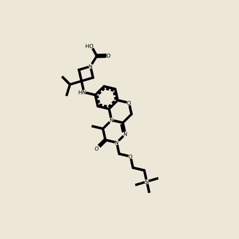 CC1C(=O)N(COCC[Si](C)(C)C)N=C2COc3ccc(NC4(C(C)C)CN(C(=O)O)C4)cc3N21